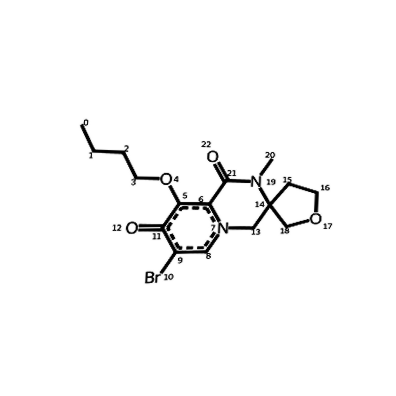 CCCCOc1c2n(cc(Br)c1=O)CC1(CCOC1)N(C)C2=O